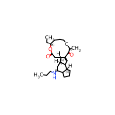 CCCN[C@@H]1C[C@@H]2C(C=C3C(=O)[C@H](C)CCCC[C@H](CC)OC(=O)C[C@H]32)[C@@H]2CCCC21